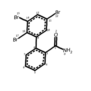 NC(=O)c1ccccc1-c1cc(Br)cc(Br)c1Br